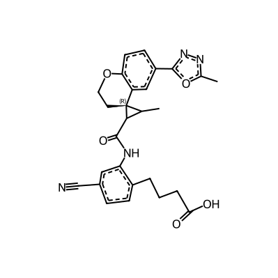 Cc1nnc(-c2ccc3c(c2)[C@]2(CCO3)C(C)C2C(=O)Nc2cc(C#N)ccc2CCCC(=O)O)o1